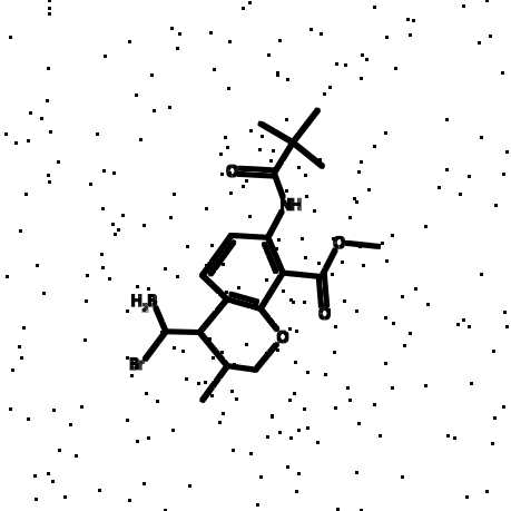 BC(Br)C1c2ccc(NC(=O)C(C)(C)C)c(C(=O)OC)c2OCC1C